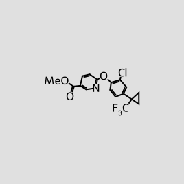 COC(=O)c1ccc(Oc2ccc(C3(C(F)(F)F)CC3)cc2Cl)nc1